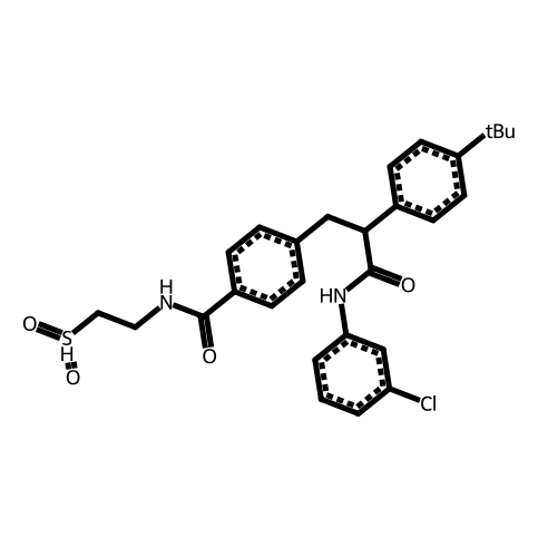 CC(C)(C)c1ccc(C(Cc2ccc(C(=O)NCC[SH](=O)=O)cc2)C(=O)Nc2cccc(Cl)c2)cc1